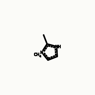 C.Cc1ncc[nH]1